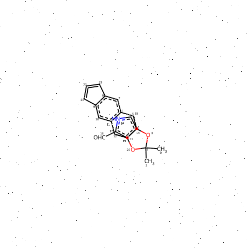 CC1(C)OC2C3c4cc5c(cc4C(c4c3c[nH]c4C=O)C2O1)C=C=C5